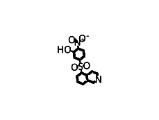 O=[N+]([O-])c1ccc(S(=O)(=O)c2cccc3cnccc23)cc1O